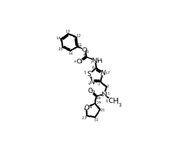 CN(Cc1nsc(NC(=O)Oc2ccccc2)n1)C(=O)C1CCCO1